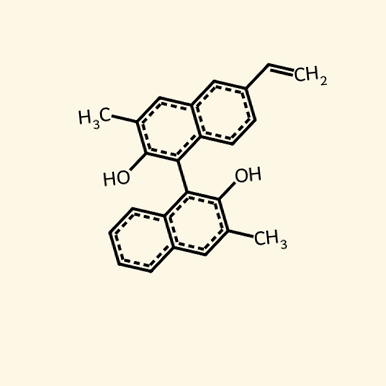 C=Cc1ccc2c(-c3c(O)c(C)cc4ccccc34)c(O)c(C)cc2c1